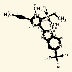 CC#Cc1nc(-c2nc3cc(C(F)(F)F)ncc3n2C)c(S(=O)(=O)CC)n1C